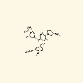 COc1cc(COc2nc(N3CCC(N)C3)ncc2Sc2ccc(C(N)=O)c(Cl)c2)ccc1F